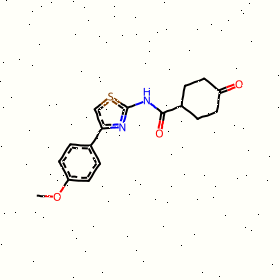 COc1ccc(-c2csc(NC(=O)C3CCC(=O)CC3)n2)cc1